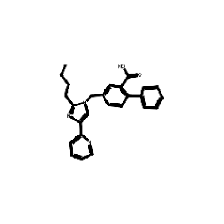 CCCCc1nc(-c2ccccn2)cn1Cc1ccc(-c2ccccc2)c(C(=O)O)c1